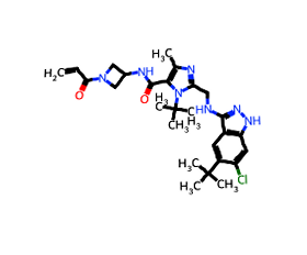 C=CC(=O)N1CC(NC(=O)c2c(C)nc(CNc3n[nH]c4cc(Cl)c(C(C)(C)C)cc34)n2C(C)(C)C)C1